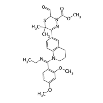 CCN=C(c1ccc(OC)cc1OC)N1CCCc2cc(C3=NN(C(=O)OC)C(C=O)SC3(C)C)ccc21